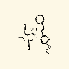 CCCC(C)(C#N)C(=CC#N)C(=O)O.CCOc1ccc(C=Cc2ccccc2)cc1